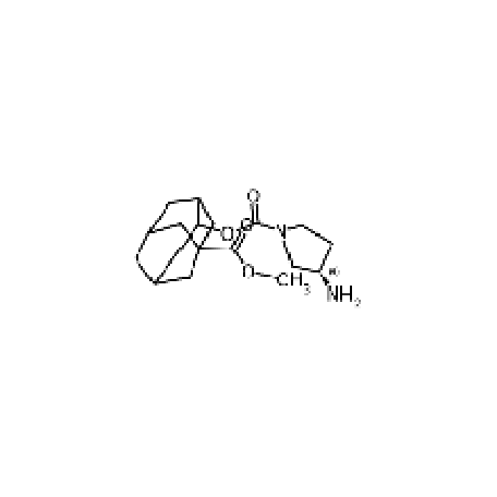 COC(=O)C12CC3CC(C1)C(OC(=O)N1CC[C@@H](N)C1)C(C3)C2